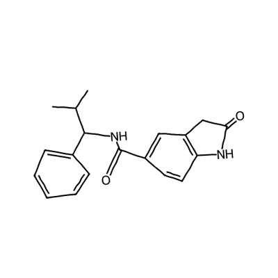 CC(C)C(NC(=O)c1ccc2c(c1)CC(=O)N2)c1ccccc1